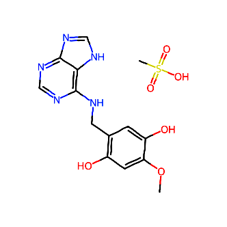 COc1cc(O)c(CNc2ncnc3nc[nH]c23)cc1O.CS(=O)(=O)O